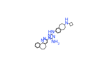 Nc1nc(Nc2ccc3c(c2)CCC(NC2CCC2)CC3)nn1-c1cc2c(nn1)-c1ccccc1CCC2